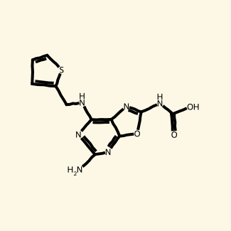 Nc1nc(NCc2cccs2)c2nc(NC(=O)O)oc2n1